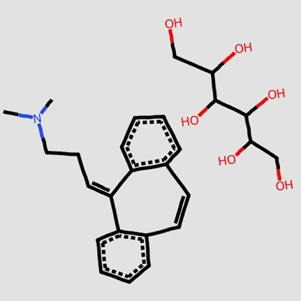 CN(C)CCC=C1c2ccccc2C=Cc2ccccc21.OCC(O)C(O)C(O)C(O)CO